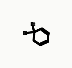 CCC1(CC)C=CC=CC1